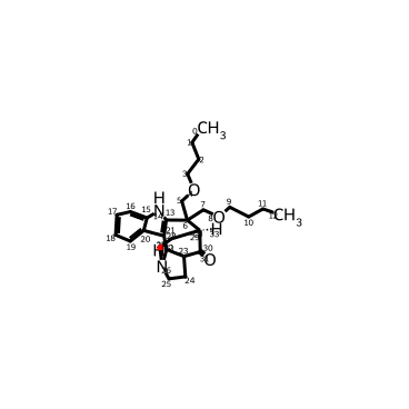 CCCCOCC1(COCCCC)c2[nH]c3ccccc3c2[C@@H]2C3CCN2CC[C@@H]1C3=O